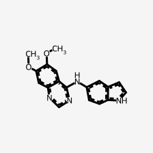 COc1cc2ncnc(Nc3ccc4[nH]ccc4c3)c2cc1OC